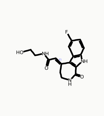 O=C(/C=C1\CCNC(=O)c2[nH]c3ccc(F)cc3c21)NCCO